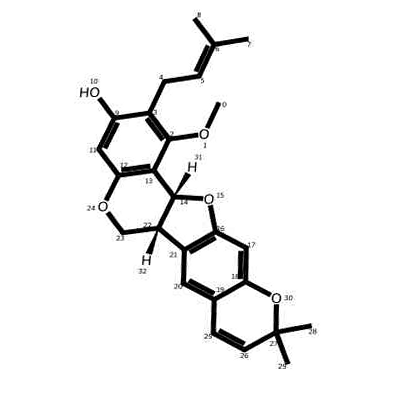 COc1c(CC=C(C)C)c(O)cc2c1[C@@H]1Oc3cc4c(cc3[C@@H]1CO2)C=CC(C)(C)O4